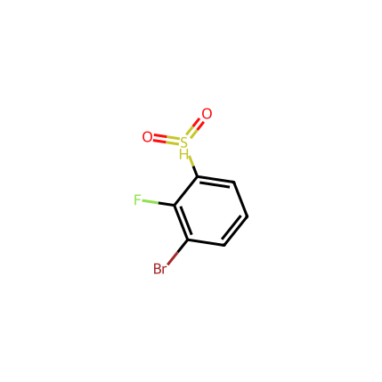 O=[SH](=O)c1cccc(Br)c1F